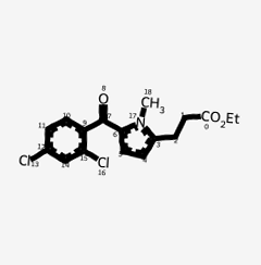 CCOC(=O)CCc1ccc(C(=O)c2ccc(Cl)cc2Cl)n1C